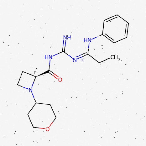 CC/C(=N/C(=N)NC(=O)[C@@H]1CCN1C1CCOCC1)Nc1ccccc1